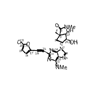 CNC(=O)[C@@]1(C)C[C@@H](n2cnc3c(NC)nc(C#Cc4ccc(Cl)o4)nc32)[C@H](O)[C@@H]1O